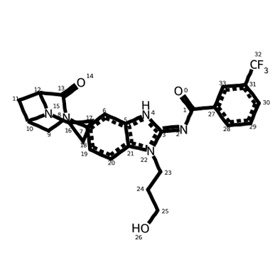 O=C(/N=c1\[nH]c2cc(N3CC4CC(C3=O)N4C3CC3)ccc2n1CCCO)c1cccc(C(F)(F)F)c1